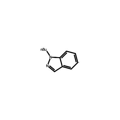 CCCCn1ncc2c[c]ccc21